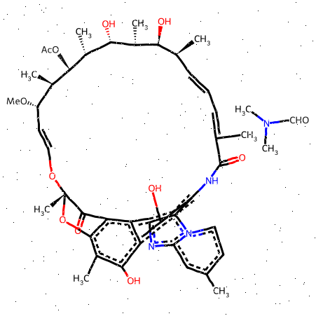 CN(C)C=O.CO[C@H]1/C=C/O[C@@]2(C)Oc3c(C)c(O)c4c(O)c(c5c(nc6cc(C)ccn65)c4c3C2=O)NC(=O)/C(C)=C\C=C\[C@H](C)[C@H](O)[C@@H](C)[C@@H](O)[C@@H](C)[C@H](OC(C)=O)[C@@H]1C